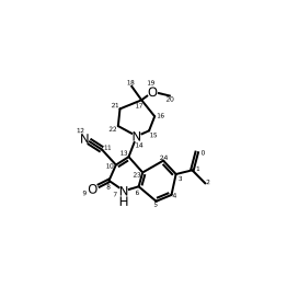 C=C(C)c1ccc2[nH]c(=O)c(C#N)c(N3CCC(C)(OC)CC3)c2c1